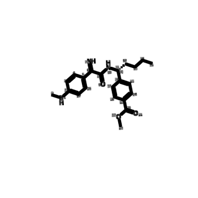 CBc1ccc(C(=N)C(=O)N[C@H](CCCC)c2ccc(C(=O)OC)cc2)cc1